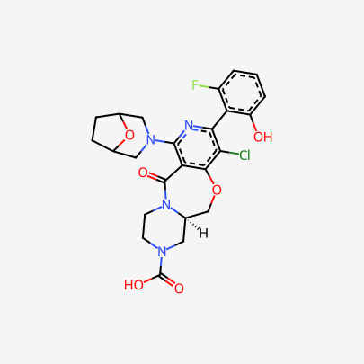 O=C(O)N1CCN2C(=O)c3c(N4CC5CCC(C4)O5)nc(-c4c(O)cccc4F)c(Cl)c3OC[C@H]2C1